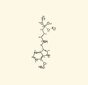 CCCCOc1ncnc2c(CNCCCP(=O)(OCC)OCC)c[nH]c12